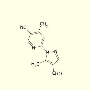 Cc1cc(-n2ncc(C=O)c2C)ncc1C#N